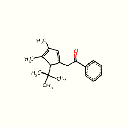 CC1=C(C)C(C(C)(C)C)C(CC(=O)c2ccccc2)=C1